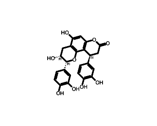 O=C1C[C@@H](c2ccc(O)c(O)c2)c2c(cc(O)c3c2O[C@H](c2ccc(O)c(O)c2)[C@H](O)C3)O1